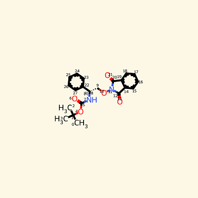 CC(C)(C)OC(=O)N[C@@H](CON1C(=O)c2ccccc2C1=O)c1ccccc1